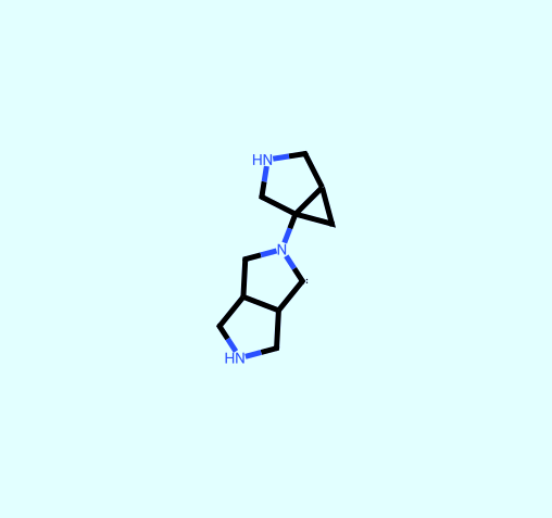 [C]1C2CNCC2CN1C12CNCC1C2